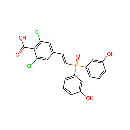 O=C(O)c1c(Cl)cc(/C=C/P(=O)(c2cccc(O)c2)c2cccc(O)c2)cc1Cl